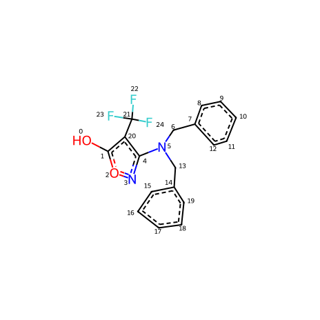 Oc1onc(N(Cc2ccccc2)Cc2ccccc2)c1C(F)(F)F